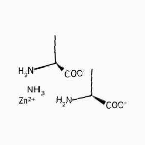 C[C@H](N)C(=O)[O-].C[C@H](N)C(=O)[O-].N.[Zn+2]